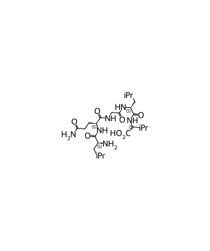 CC(C)C[C@H](NC(=O)CNC(=O)[C@H](CCC(N)=O)NC(=O)[C@@H](N)CC(C)C)C(=O)N[C@H](C(=O)O)C(C)C